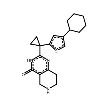 O=c1[nH]c(C2(c3cc(C4CCCCC4)cs3)CC2)nc2c1CNCC2